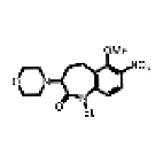 CCN1C(=O)C(N2CCOCC2)CCc2c1ccc([N+](=O)[O-])c2OC